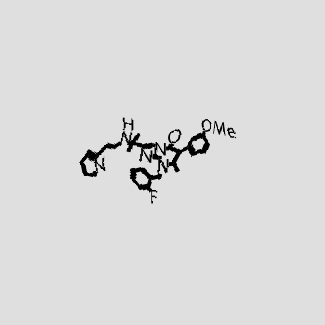 COc1cccc(-c2c(C)n(Cc3ccccc3F)c3nc(C(C)(C)NCCc4ccccn4)cn3c2=O)c1